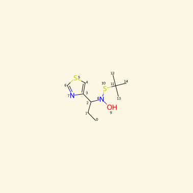 CCC(c1cscn1)N(O)SC(C)(C)C